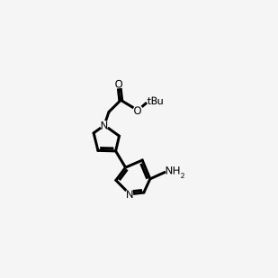 CC(C)(C)OC(=O)CN1CC=C(c2cncc(N)c2)C1